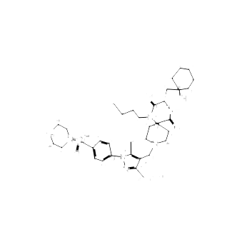 CCCCN1C(=O)[C@@H](CC2(O)CCCCC2)NC(=O)C12CCN(Cc1c(C)nn(-c3ccc(S(=O)(=O)N4CCOCC4)cc3)c1C)CC2.Cl